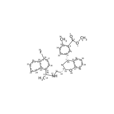 COC(=O)c1cc([C@H]2C[C@@H](CCN[C@H](C)c3ccc(F)c4ccccc34)Oc3ccccc32)ccc1C